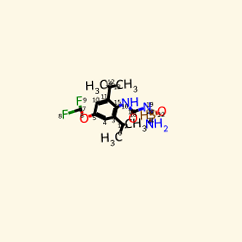 CC(C)c1cc(OC(F)F)cc(C(C)C)c1NC(=O)/N=[SH](\N)=O